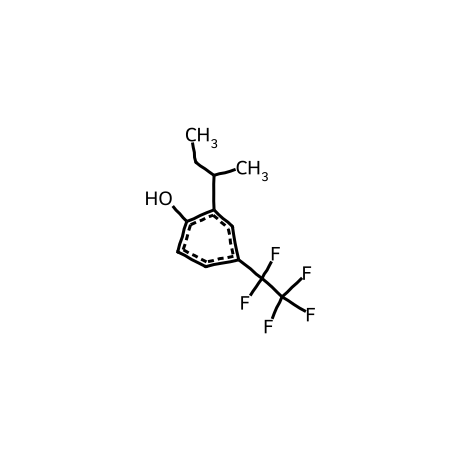 CCC(C)c1cc(C(F)(F)C(F)(F)F)ccc1O